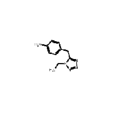 CCn1nnnc1Cc1ccc(N)cc1